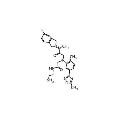 Cc1nc(-c2ccc(C)c(N(CC(=O)NCCN)CC(=O)N(C)N3Cc4ccc(F)cc4C3)c2)no1